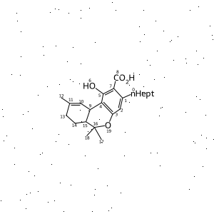 CCCCCCCc1cc2c(c(O)c1C(=O)O)C1C=C(C)CCC1C(C)(C)O2